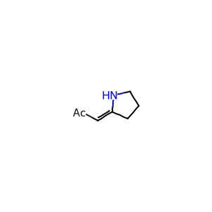 CC(=O)/C=C1/CCCN1